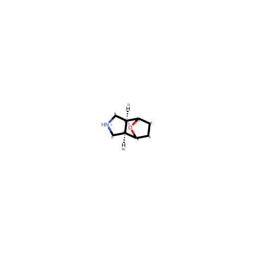 C1CC2OC1[C@H]1CNC[C@@H]21